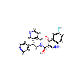 O=C(c1c[nH]c2ccc(F)cc2c1=O)N(CCc1ccncc1)Cc1ccncc1